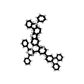 c1ccc(-c2nc(-c3ccccc3)nc(-c3cc(-c4ccc(-c5ccccc5)c(-c5ccccc5)c4)cnc3-c3ccc4oc5c(ccc6c5c5ccccc5n6-c5ccccc5)c4c3)n2)cc1